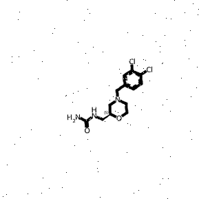 NC(=O)NC[C@H]1CN(Cc2ccc(Cl)c(Cl)c2)CCO1